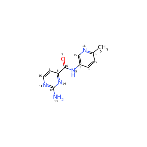 Cc1ccc(NC(=O)c2ccnc(N)n2)cn1